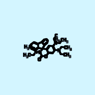 CCN(CC)c1cc2c(cc1N(CC)CC)C1(c3ccccc3-c3ccccc31)N(N(CC)CC)C(=O)O2